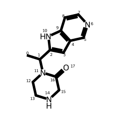 CC(c1cc2cnccc2[nH]1)N1CCNCC1=O